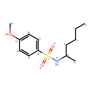 CCCCC(C)NS(=O)(=O)c1ccc(OC)cc1